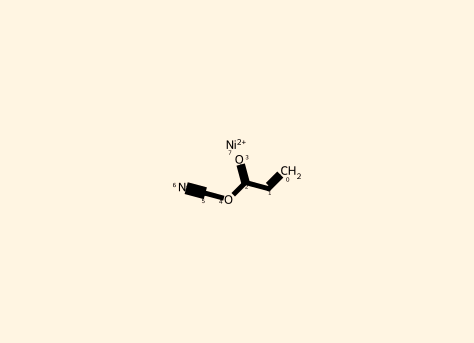 C=CC(=O)OC#N.[Ni+2]